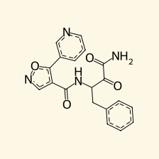 NC(=O)C(=O)C(Cc1ccccc1)NC(=O)c1cnoc1-c1cccnc1